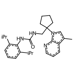 Cc1cn(C2(CNC(=O)Nc3c(C(C)C)cccc3C(C)C)CCCC2)c2ncccc12